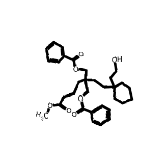 COC(=O)CCCC(CCC1(CCO)CCCCC1)(COC(=O)c1ccccc1)COC(=O)c1ccccc1